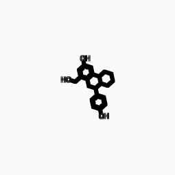 OCc1cc(O)cc2c1CC(c1ccc(O)cc1)C1CCCCC21